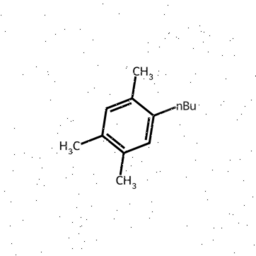 [CH2]CCCc1cc(C)c(C)cc1C